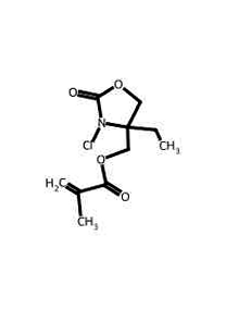 C=C(C)C(=O)OCC1(CC)COC(=O)N1Cl